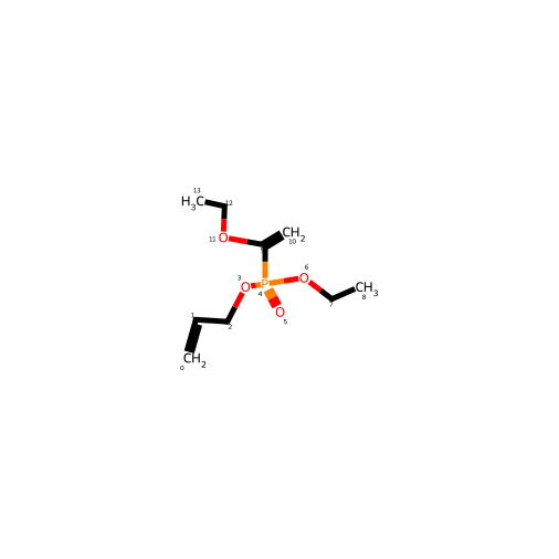 C=CCOP(=O)(OCC)C(=C)OCC